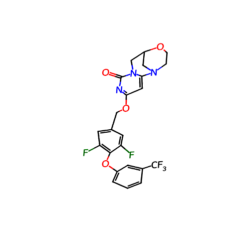 O=c1nc(OCc2cc(F)c(Oc3cccc(C(F)(F)F)c3)c(F)c2)cc2n1CC1CN2CCO1